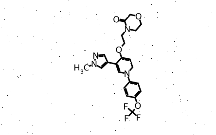 Cn1cc(C2=CN(c3ccc(OC(F)(F)F)cc3)CC=C2OCCN2CCOCC2=O)cn1